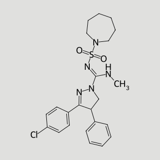 CN/C(=N\S(=O)(=O)N1CCCCCC1)N1CC(c2ccccc2)C(c2ccc(Cl)cc2)=N1